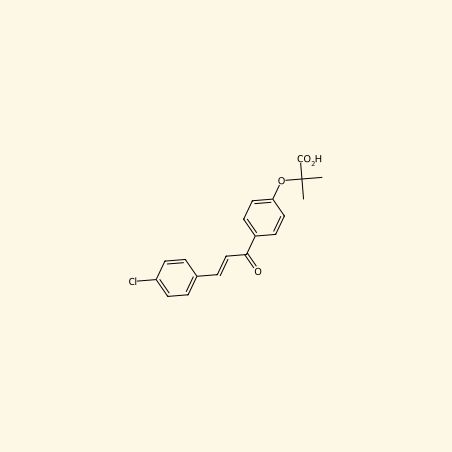 CC(C)(Oc1ccc(C(=O)/C=C/c2ccc(Cl)cc2)cc1)C(=O)O